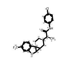 C[C@H](C(=O)Nc1ccc(Cl)cc1)[C@@H]1CC[C@@]23c4ccc(C(F)(F)F)cc4OC2C3C1